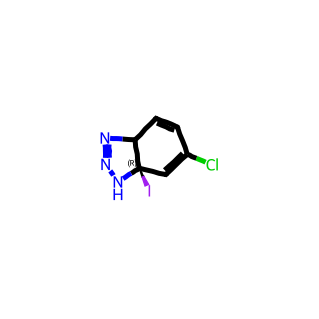 ClC1=C[C@]2(I)NN=NC2C=C1